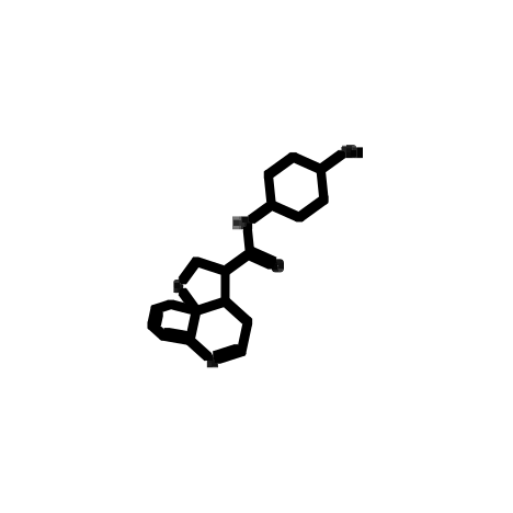 CC(C)(C)C1CCC(NC(=O)C2CSC34CC=CC=C3N=CCC24)CC1